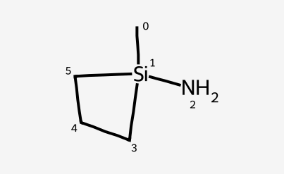 C[Si]1(N)CCC1